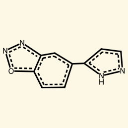 c1cc(-c2ccc3onnc3c2)[nH]n1